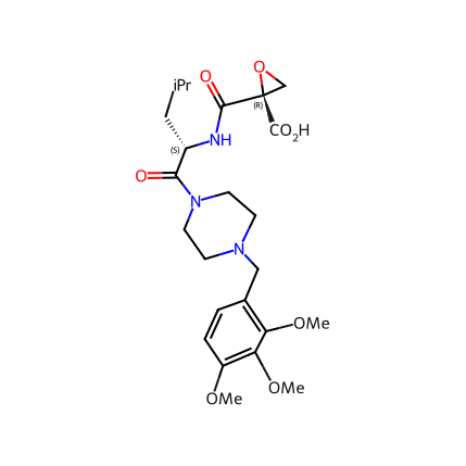 COc1ccc(CN2CCN(C(=O)[C@H](CC(C)C)NC(=O)[C@@]3(C(=O)O)CO3)CC2)c(OC)c1OC